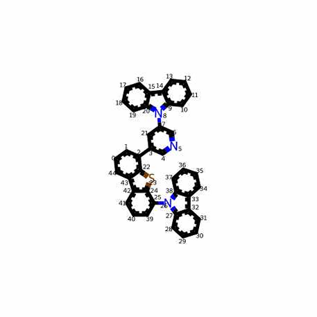 c1cc(-c2cncc(-n3c4ccccc4c4ccccc43)c2)c2sc3c(-n4c5ccccc5c5ccccc54)cccc3c2c1